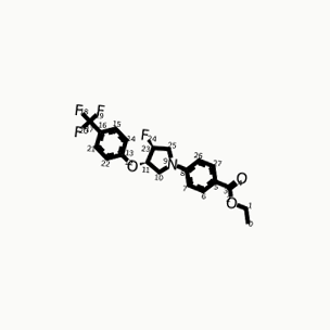 CCOC(=O)c1ccc(N2C[C@H](Oc3ccc(C(F)(F)F)cc3)[C@@H](F)C2)cc1